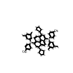 [C-]#[N+]c1ccc(N(c2cc(C)cc(C)c2)c2cc(C3CCCC3)c3ccc4c(N(c5ccc(C#N)cc5)c5cc(C)cc(C)c5)cc(C5CCCC5)c5ccc2c3c54)cc1